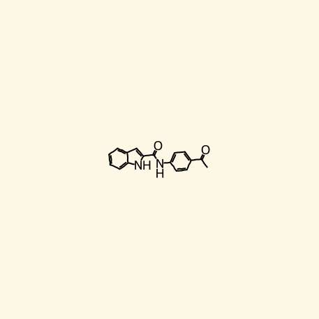 CC(=O)c1ccc(NC(=O)c2cc3ccccc3[nH]2)cc1